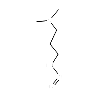 CN(C)CCCNN=N